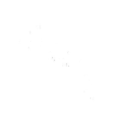 O=C1CCc2c(cccc2NC(=O)Nc2ccc(Cl)c(C(F)(F)F)c2)C1